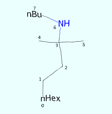 CCCCCCCCC(C)(C)NCCCC